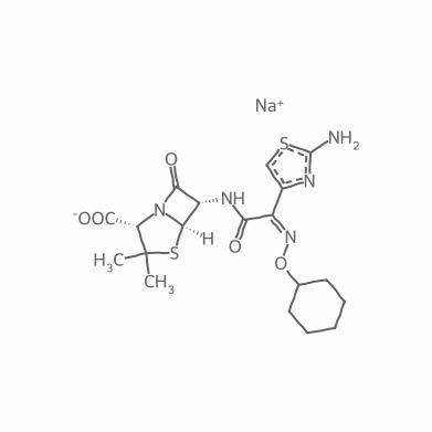 CC1(C)S[C@@H]2[C@@H](NC(=O)/C(=N\OC3CCCCC3)c3csc(N)n3)C(=O)N2[C@H]1C(=O)[O-].[Na+]